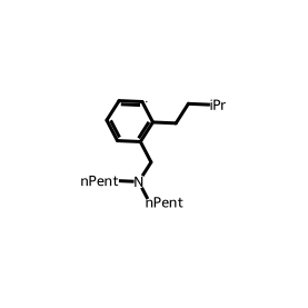 CCCCCN(CCCCC)Cc1ccc[c]c1CCC(C)C